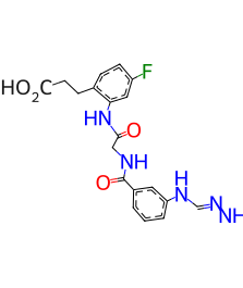 NN=CNc1cccc(C(=O)NCC(=O)Nc2cc(F)ccc2CCC(=O)O)c1